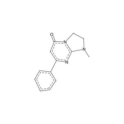 CN1CCn2c1nc(-c1ccccc1)cc2=O